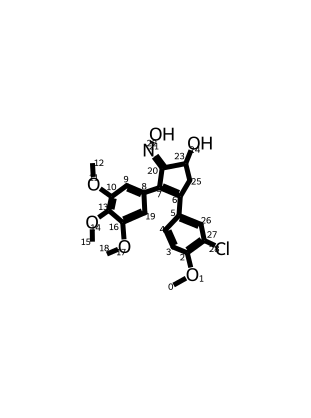 COc1ccc(C2=C(c3cc(OC)c(OC)c(OC)c3)/C(=N/O)C(O)C2)cc1Cl